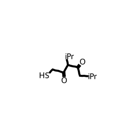 CC(C)CC(=O)C(C(=O)CS)C(C)C